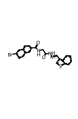 O=C(CNC(=O)c1ccc2cc(Br)ccc2c1)N/N=C/c1csc2ccccc12